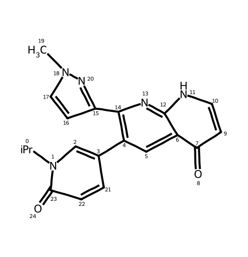 CC(C)n1cc(-c2cc3c(=O)cc[nH]c3nc2-c2ccn(C)n2)ccc1=O